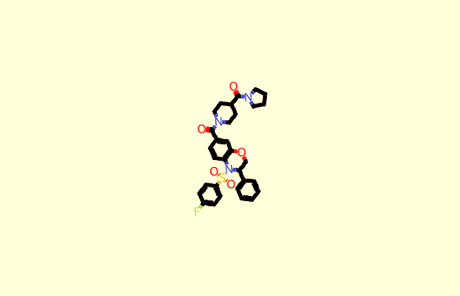 O=C(c1ccc2c(c1)OCC(c1ccccc1)N2S(=O)(=O)c1ccc(F)cc1)N1CCC(C(=O)N2CCCC2)CC1